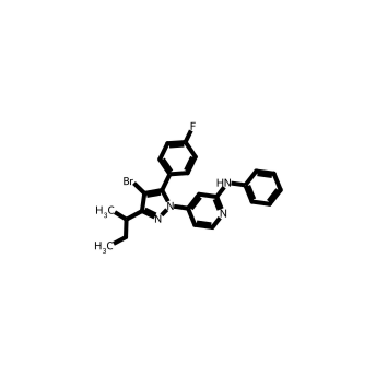 CCC(C)c1nn(-c2ccnc(Nc3ccccc3)c2)c(-c2ccc(F)cc2)c1Br